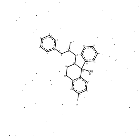 CN(Cc1ccccc1)CC1CCc2cc(F)ccc2C1(O)c1ccccc1